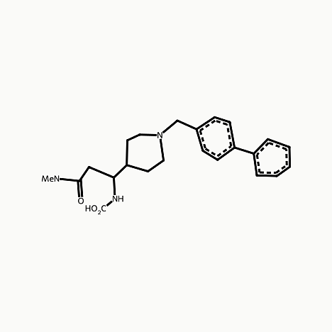 CNC(=O)CC(NC(=O)O)C1CCN(Cc2ccc(-c3ccccc3)cc2)CC1